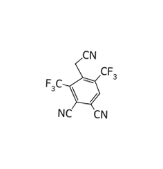 N#CCc1c(C(F)(F)F)cc(C#N)c(C#N)c1C(F)(F)F